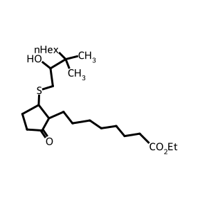 CCCCCCC(C)(C)C(O)CSC1CCC(=O)C1CCCCCCCC(=O)OCC